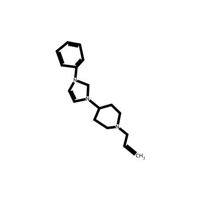 C=CCN1CCC(N2C=CN(c3ccccc3)C2)CC1